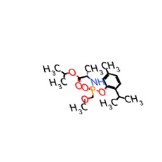 COCP(=O)(N[C@@H](C)C(=O)OC(C)C)Oc1cc(C)ccc1C(C)C